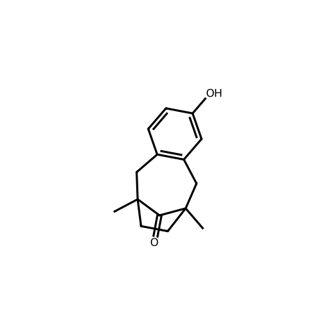 CC12CCC(C)(Cc3cc(O)ccc3C1)C2=O